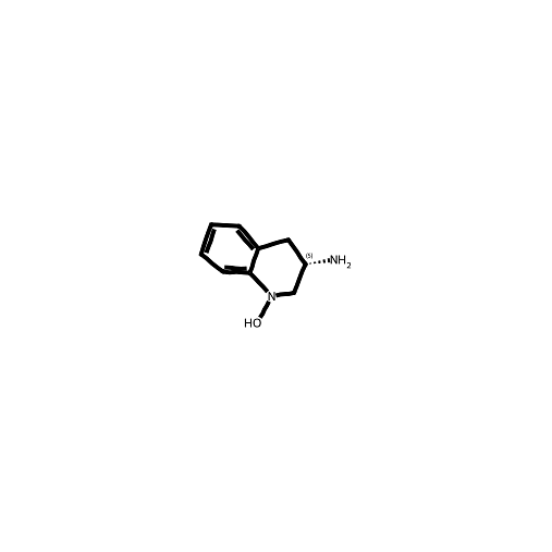 N[C@H]1Cc2ccccc2N(O)C1